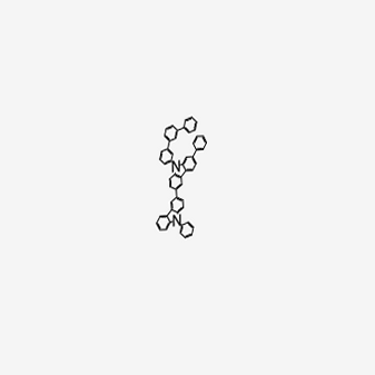 c1ccc(-c2cccc(-c3cccc(-n4c5ccc(-c6ccc7c(c6)c6ccccc6n7-c6ccccc6)cc5c5ccc(-c6ccccc6)cc54)c3)c2)cc1